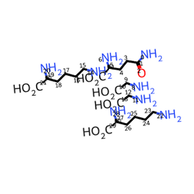 NC(=O)CC[C@H](N)C(=O)O.NCC(=O)O.NCC(=O)O.NCCCC[C@H](N)C(=O)O.NCCCC[C@H](N)C(=O)O